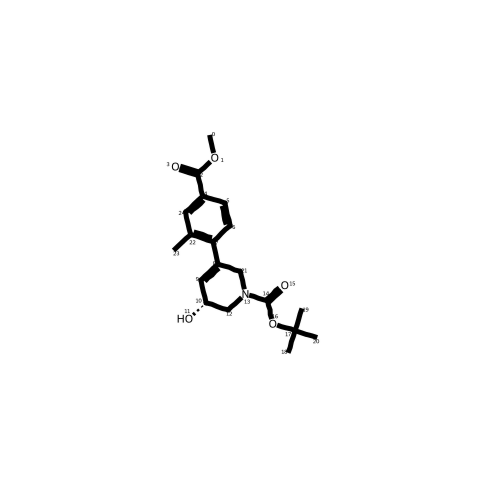 COC(=O)c1ccc(C2=C[C@@H](O)CN(C(=O)OC(C)(C)C)C2)c(C)c1